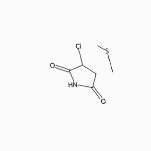 CSC.O=C1CC(Cl)C(=O)N1